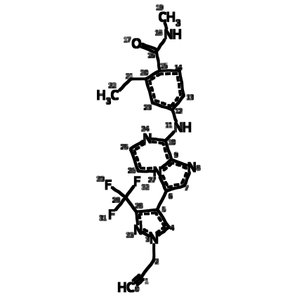 C#CCn1cc(-c2cnc3c(Nc4ccc(C(=O)NC)c(CC)c4)nccn23)c(C(F)(F)F)n1